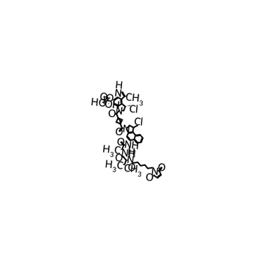 Cc1c[nH]c2c(OP(=O)(O)O)cc3c(c12)[C@H](CCl)CN3C(=O)C12CC(C(=O)N3CC(CCl)c4c3cc(NC(=O)[C@H](C)NC(=O)[C@@H](NC(=O)CCCCCN3C(=O)C=CC3=O)C(C)C)c3ccccc43)(C1)C2